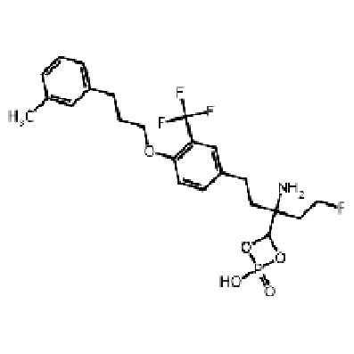 Cc1cccc(CCCOc2ccc(CCC(N)(CCF)C3OP(=O)(O)O3)cc2C(F)(F)F)c1